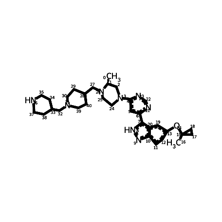 C[C@H]1CN(c2cc(-c3[nH]nc4ccc(OC5(C)CC5)cc34)ncn2)CCN1CC1CCN(CC2CCNCC2)CC1